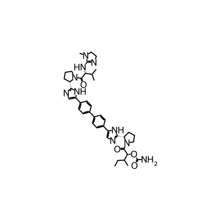 CCC(C)[C@H](OC(N)=O)C(=O)N1CCC[C@H]1c1ncc(-c2ccc(-c3ccc(-c4cnc([C@@H]5CCCN5C(=O)[C@H](NC5=NCCN5C)C(C)C)[nH]4)cc3)cc2)[nH]1